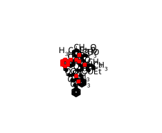 CCC1O[C@H](OCC2O[C@@H](O[C@@H]3C(COCc4ccccc4)O[C@@H](OCc4ccccc4)C(C)[C@H]3C)C(OCc3ccccc3)[C@@H](O[C@H]3O[C@@H](CC)[C@@H](C)C(C)C3O[C@H]3O[C@@H](COP(=O)=O)[C@@H](C)C(C)C3OCc3ccccc3)[C@@H]2C)C(OCc2ccccc2)[C@@H](C)[C@@H]1C